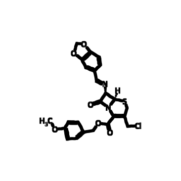 COc1ccc(COC(=O)C2=C(CCl)CS[C@@H]3[C@H](/N=C/c4ccc5c(c4)OCO5)C(=O)N23)cc1